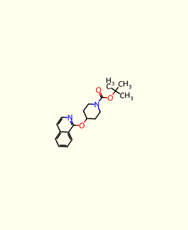 CC(C)(C)OC(=O)N1CCC(Oc2nccc3ccccc23)CC1